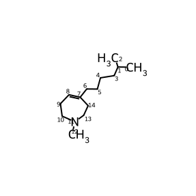 CC(C)CCCCC1=CCCN(C)CC1